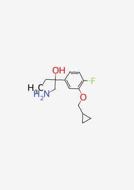 CCC(O)(CN)c1ccc(F)c(OCC2CC2)c1